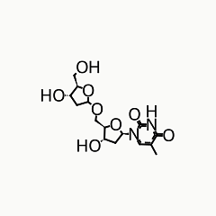 Cc1cn([C@H]2C[C@H](O)[C@@H](COC3C[C@H](O)[C@@H](CO)O3)O2)c(=O)[nH]c1=O